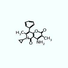 Cc1c(N)c2c(=O)n(C3CC3)c(C)c(-c3ccccc3)c2oc1=O